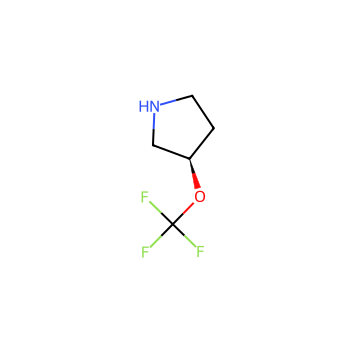 FC(F)(F)O[C@@H]1CCNC1